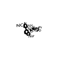 CC(C)n1cc(S(=O)(=O)NC(=O)Nc2c(-c3ccnc(C#N)c3)ccc3c2CCC3)ncc1=O.[Na]